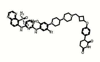 CCc1cc(Nc2nccc(Nc3ccc4nccnc4c3P(C)(C)=O)n2)c(OC)cc1N1CCC(N2CCN(CC3CC(Oc4ccc(C5CCC(=O)NC5=O)cc4)C3)CC2)CC1